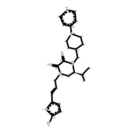 CC(C)[C@H]1CN(CC=Cc2ccc(Cl)s2)C(=O)C(=O)N1CC1CCN(c2ccncc2)CC1